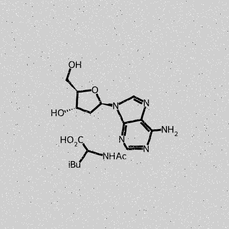 CCC(C)C(NC(C)=O)C(=O)O.Nc1ncnc2c1ncn2[C@H]1C[C@H](O)[C@@H](CO)O1